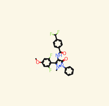 COc1cc(F)c(-c2c(NC(=O)c3ccc(C(F)F)cc3)c(=O)n(-c3ccccc3)n2C)c(F)c1